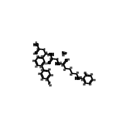 O=C(O)CC(NC(=O)CNC(=O)CCCCNc1ccccn1)c1cccc(-c2ccc(F)cc2)c1.[Na]